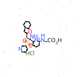 Cl.NC(Cc1cc2ccccc2o1)(c1cccc(NCC(=O)O)n1)S(=O)(=O)c1cccnc1